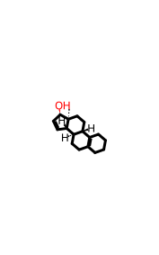 C[C@]12CC[C@@H]3C4=C(CCCC4)CC[C@H]3[C@@H]1C=C[C@@H]2O